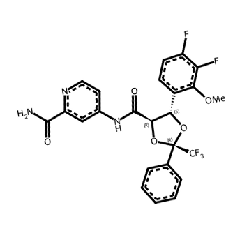 COc1c([C@@H]2O[C@@](c3ccccc3)(C(F)(F)F)O[C@H]2C(=O)Nc2ccnc(C(N)=O)c2)ccc(F)c1F